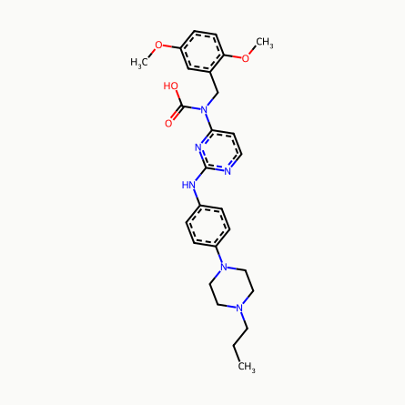 CCCN1CCN(c2ccc(Nc3nccc(N(Cc4cc(OC)ccc4OC)C(=O)O)n3)cc2)CC1